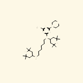 CC(C)c1nc(N2CCOCC2)nc(N(CCCCCCN(C(C)C)C2CC(C)(C)NC(C)(C)C2)C2CC(C)(C)NC(C)(C)C2)n1